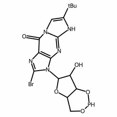 CC(C)(C)c1cn2c(=O)c3nc(Br)n(C4OC5COPOC5C4O)c3nc2[nH]1